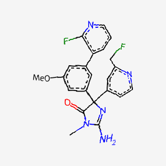 COc1cc(-c2cccnc2F)cc(C2(c3ccnc(CF)c3)N=C(N)N(C)C2=O)c1